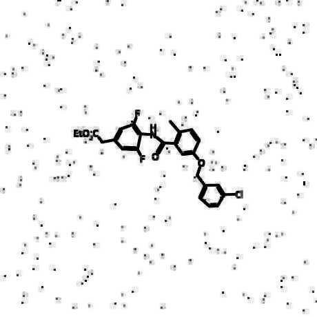 CCOC(=O)Cc1cc(F)c(NC(=O)c2cc(OCc3cccc(Cl)c3)ccc2C)c(F)c1